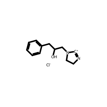 OC(Cc1ccccc1)CN1[C+]=NCC1.[Cl-]